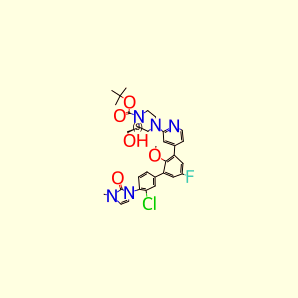 COc1c(-c2ccnc(N3CCN(C(=O)OC(C)(C)C)[C@H](CO)C3)c2)cc(F)cc1-c1ccc(-n2ccn(C)c2=O)c(Cl)c1